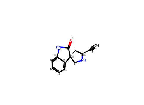 C#C[C@@H]1C[C@@]2(CN1)C(=O)Nc1ccccc12